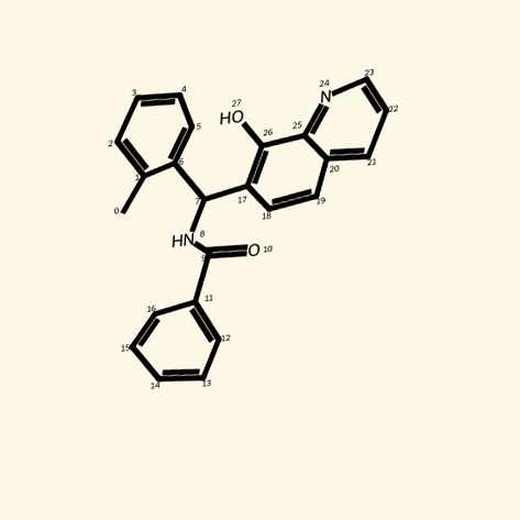 Cc1ccccc1C(NC(=O)c1ccccc1)c1ccc2cccnc2c1O